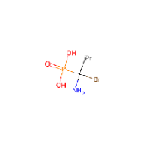 CC(C)C(N)(Br)P(=O)(O)O